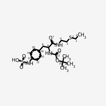 CCSCCNC(=O)C(Cc1ccc(NS(=O)(=O)O)cc1)NC(=O)OC(C)(C)C